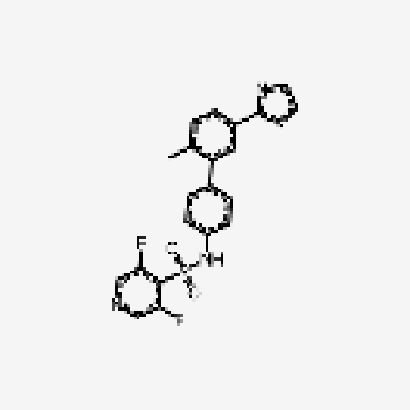 Cc1ccc(-c2nccs2)cc1-c1ccc(NS(=O)(=O)c2c(F)cncc2F)cc1